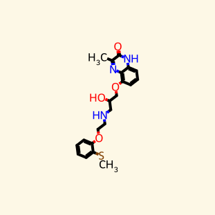 CSc1ccccc1OCCNCC(O)COc1cccc2[nH]c(=O)c(C)nc12